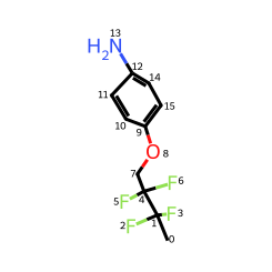 CC(F)(F)C(F)(F)COc1ccc(N)cc1